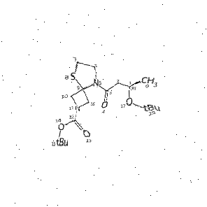 C[C@H](CC(=O)N1CCSC12CN(C(=O)OC(C)(C)C)C2)OC(C)(C)C